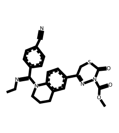 CC/N=C(/c1ccc(C#N)cc1)N1CCCc2cc(C3=NN(C(=O)OC)C(=O)SC3)ccc21